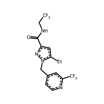 CCc1cc(C(=O)NCC(F)(F)F)nn1Cc1ccnc(C(F)(F)F)c1